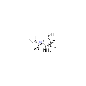 C=N/C(NCC)=C(/C)C(N)N(CC)[C@H](C)CO